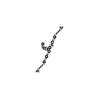 C=CC(=O)OCCCCCCOc1ccc(OCc2ccc(COc3ccc4c5ccc(OC(=O)C6CCC(COc7ccc(OCCCCCCOC(=O)C=C)cc7)CC6)cc5c5nc6cc(Oc7ccccc7)ccc6nc5c4c3)cc2)cc1